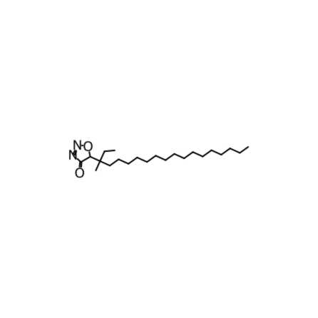 CCCCCCCCCCCCCCCCC(C)(CC)C1ON=NC1=O